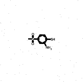 CS(=O)(=O)c1ccc(S)c(N)c1